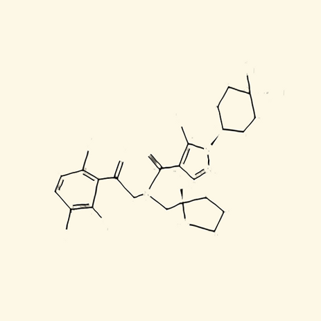 C[C@@]1(CN(CC(=O)c2c(Cl)ccc(F)c2Cl)C(=O)c2cnn([C@H]3CC[C@](C)(C(=O)O)CC3)c2C(F)(F)F)CCCO1